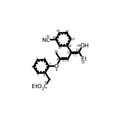 CCOC(=O)Cc1ccccc1O/C(C)=C/C(=C(/O)CC)c1cccc(C#N)c1